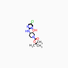 CC(C)(C)OC(=O)N1CC[C@@H](Nc2ncc(Cl)cn2)[C@H](O)C1